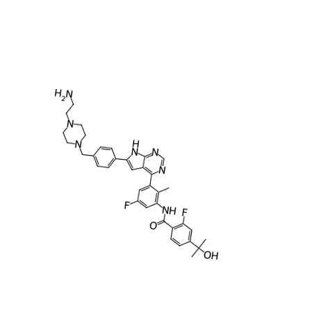 Cc1c(NC(=O)c2ccc(C(C)(C)O)cc2F)cc(F)cc1-c1ncnc2[nH]c(-c3ccc(CN4CCN(CCN)CC4)cc3)cc12